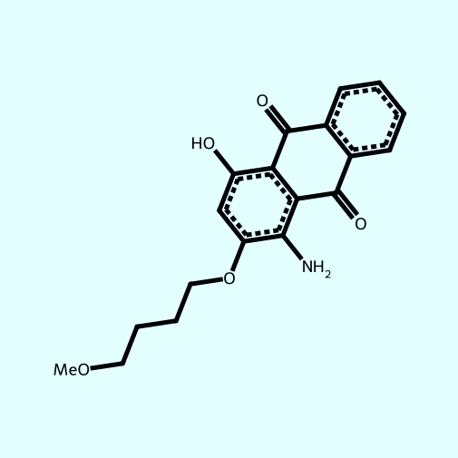 COCCCCOc1cc(O)c2c(c1N)C(=O)c1ccccc1C2=O